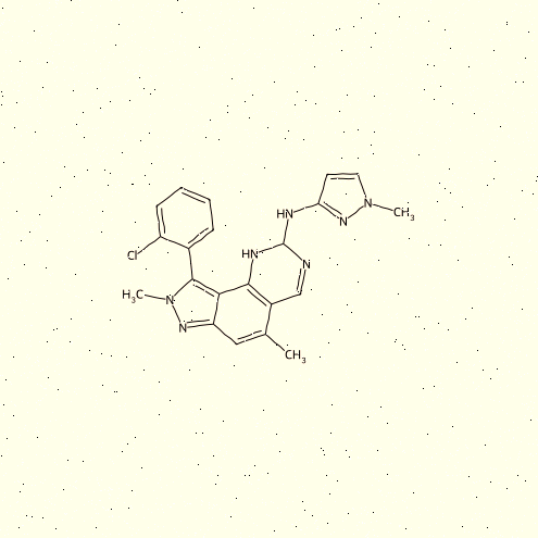 Cc1cc2nn(C)c(-c3ccccc3Cl)c2c2c1C=NC(Nc1ccn(C)n1)N2